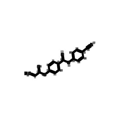 C=CC(=O)Oc1ccc(C(=O)Oc2ccc(C#N)cc2)cc1